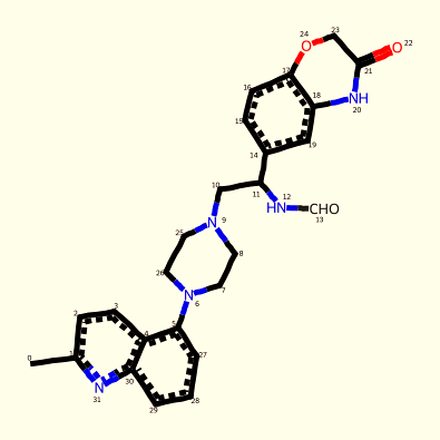 Cc1ccc2c(N3CCN(CC(NC=O)c4ccc5c(c4)NC(=O)CO5)CC3)cccc2n1